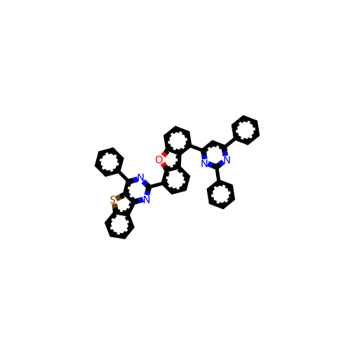 c1ccc(-c2cc(-c3cccc4oc5c(-c6nc(-c7ccccc7)c7sc8ccccc8c7n6)cccc5c34)nc(-c3ccccc3)n2)cc1